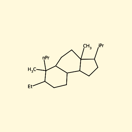 CCCC1(C)C(CC)CCC2C1CCC1(C)C(C(C)C)CCC21